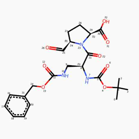 CC(C)(C)OC(=O)N[C@@H](CNC(=O)OCc1ccccc1)C(=O)N1[C@@H](C=O)CC[C@H]1C(=O)O